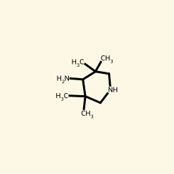 CC1(C)CNCC(C)(C)C1N